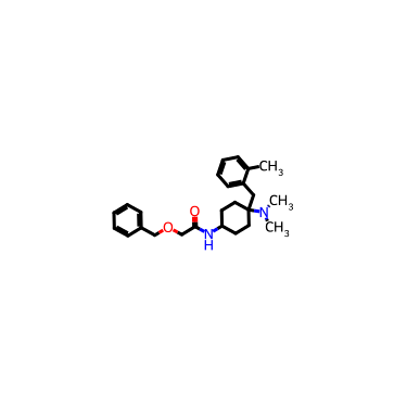 Cc1ccccc1CC1(N(C)C)CCC(NC(=O)COCc2ccccc2)CC1